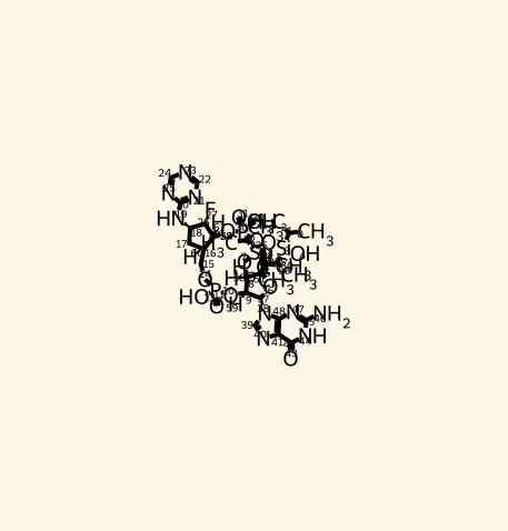 CC(C)[Si](O)(O[Si](O[C@H]1[C@H]2OP(=O)(O)OC[C@H]3C[C@@H](Nc4ncncn4)[C@H](F)[C@@H]3OP(=O)(O)OC[C@H]1O[C@H]2n1cnc2c(=O)[nH]c(N)nc21)(C(C)C)C(C)C)C(C)C